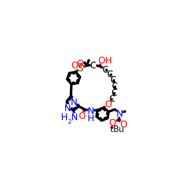 CN(Cc1cccc2c1OCCCCCCC(O)CC(C)(C)S(=O)(=O)c1ccc(cc1)-c1cnc(N)c(n1)C(=O)N2)C(=O)OC(C)(C)C